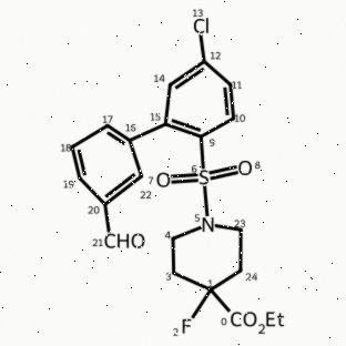 CCOC(=O)C1(F)CCN(S(=O)(=O)c2ccc(Cl)cc2-c2cccc(C=O)c2)CC1